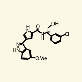 COc1ccc2[nH]nc(-c3c[nH]c(C(=O)N[C@H](CO)c4cccc(Cl)c4)c3)c2c1